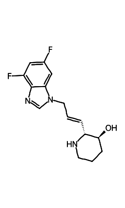 O[C@H]1CCCN[C@@H]1/C=C/Cn1cnc2c(F)cc(F)cc21